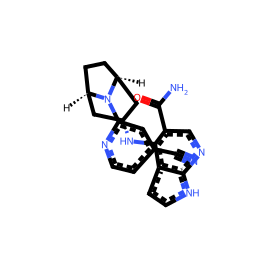 N#Cc1ccnc(N2[C@@H]3CC[C@H]2C[C@H](Nc2c(C(N)=O)cnc4[nH]ccc24)C3)c1